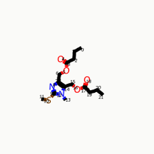 CCCC(=O)OCc1nc(SC)n(C)c1COC(=O)CCC